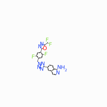 Nc1nccc2cc(-c3nnn(Cc4cc(F)c(-c5nnc(C(F)F)o5)cc4F)n3)ccc12